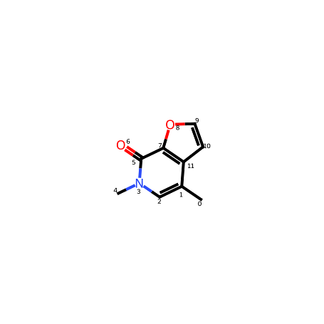 Cc1cn(C)c(=O)c2occc12